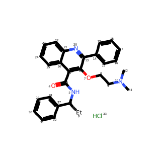 CCC(NC(=O)c1c(OCCN(C)C)c(-c2ccccc2)nc2ccccc12)c1ccccc1.Cl